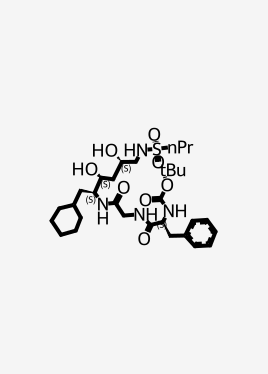 CCCS(=O)(=O)NC[C@@H](O)C[C@H](O)[C@H](CC1CCCCC1)NC(=O)CNC(=O)[C@H](Cc1ccccc1)NC(=O)OC(C)(C)C